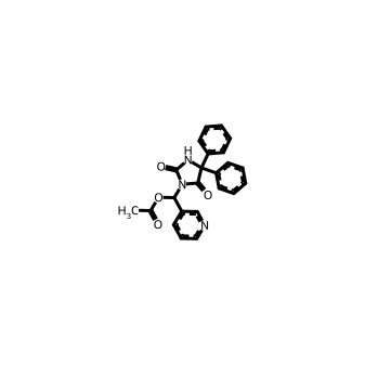 CC(=O)OC(c1cccnc1)N1C(=O)NC(c2ccccc2)(c2ccccc2)C1=O